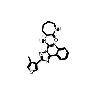 Cc1cscc1-c1nc2c3ccccc3nc(N[C@@H]3CCCCNC3=O)n2n1